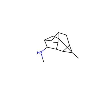 CNC1C2CCC3(C)C4CC(C2)C(C)C1C43